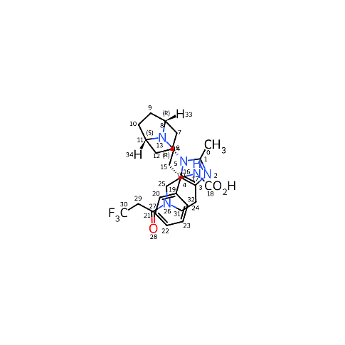 Cc1nc2c(n1[C@H]1C[C@H]3CC[C@@H](C1)N3CC[C@H](NC(=O)O)c1ccccc1)CN(C(=O)CC(F)(F)F)CC2